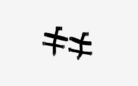 O=S(=O)(O)C(F)(F)F.O=S(=O)(O)C(F)(F)F